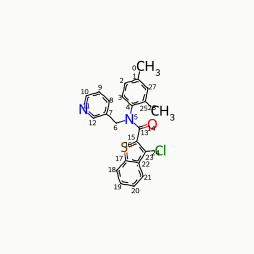 Cc1ccc(N(Cc2cccnc2)C(=O)c2sc3ccccc3c2Cl)c(C)c1